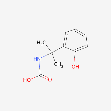 CC(C)(NC(=O)O)c1ccccc1O